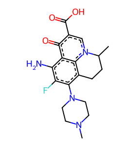 CC1CCc2c(N3CCN(C)CC3)c(F)c(N)c3c(=O)c(C(=O)O)cn1c23